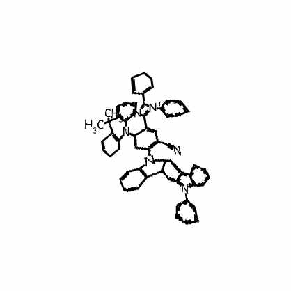 CC1(C)C2=C(CCC=C2)N(C2CC(N3C4C=CC=CC4C4C=c5c(c6ccccc6n5-c5ccccc5)=CC43)=C(C#N)C=C2C2=[N+](c3ccccc3)C(C3=CCCC=C3)=N2)c2ccccc21